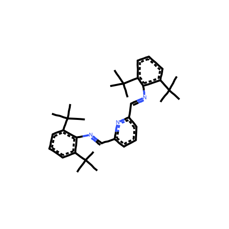 CC(C)(C)c1cccc(C(C)(C)C)c1/N=C/c1cccc(/C=N/c2c(C(C)(C)C)cccc2C(C)(C)C)n1